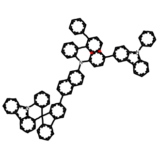 c1ccc(-c2ccccc2-c2ccccc2N(c2ccc(-c3ccc4c(c3)c3ccccc3n4-c3ccccc3)cc2)c2ccc3cc(-c4ccc5c(c4)C4(c6ccccc6-5)c5ccccc5-n5c6ccccc6c6cccc4c65)ccc3c2)cc1